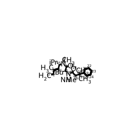 C=C/C(C)=C/[C@H](C(C)C)N(C)C(=O)[C@@H](NC(=O)[C@@H](NC)C(C)(C)c1ccccc1)C(C)(C)C